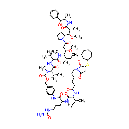 CC[C@H](C)[C@@H]([C@@H](CC(=O)N1CCC[C@H]1[C@H](OC)[C@@H](C)C(=O)N[C@H](C)[C@@H](O)c1ccccc1)OC)N(C)C(=O)[C@@H](NC(=O)[C@H](C(C)C)N(C)C(=O)OCc1ccc(NC(=O)[C@H](CCCNC(N)=O)NC(=O)[C@@H](NC(=O)CCCCCN2C(=O)CC(SC3CCCCCC3)C2=O)C(C)C)cc1)C(C)C